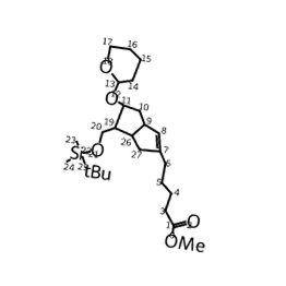 COC(=O)CCCCC1=CC2CC(OC3CCCCO3)C(CO[Si](C)(C)C(C)(C)C)C2C1